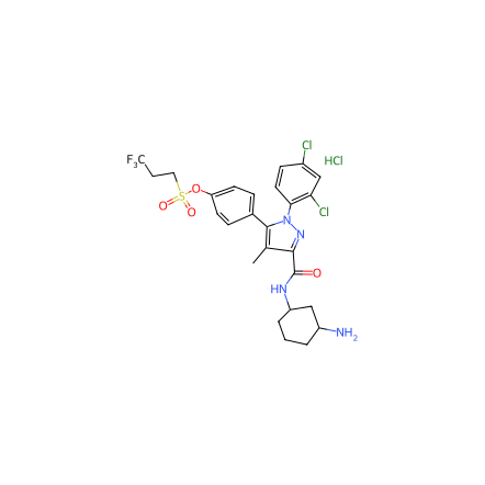 Cc1c(C(=O)NC2CCCC(N)C2)nn(-c2ccc(Cl)cc2Cl)c1-c1ccc(OS(=O)(=O)CCC(F)(F)F)cc1.Cl